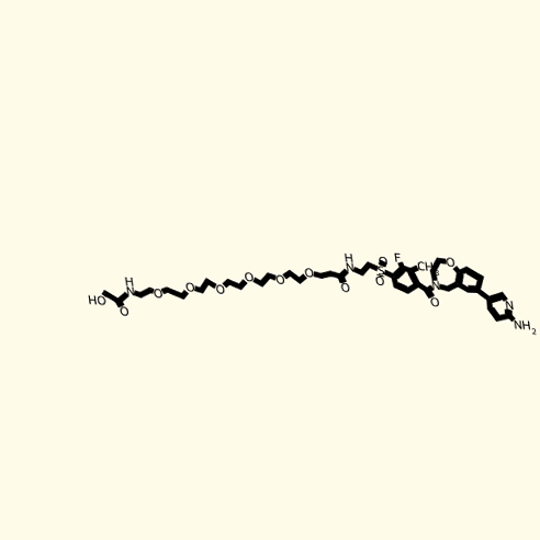 Cc1c(C(=O)N2CCOc3ccc(-c4ccc(N)nc4)cc3C2)ccc(S(=O)(=O)CCNC(=O)CCOCCOCCOCCOCCOCCOCCNC(=O)CO)c1F